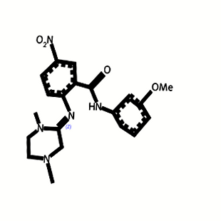 COc1cccc(NC(=O)c2cc([N+](=O)[O-])ccc2/N=C2/CN(C)CCN2C)c1